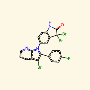 O=C1Nc2ccc(-n3c(-c4ccc(F)cc4)c(Br)c4cccnc43)cc2C1(Br)Br